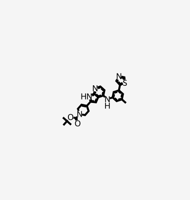 Cc1cc(Nc2ccnc3[nH]c(C4=CCN(C(=O)OC(C)(C)C)CC4)cc23)cc(-c2cncs2)c1